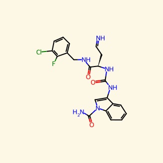 N=CC[C@@H](NC(=O)Nc1cn(C(N)=O)c2ccccc12)C(=O)NCc1cccc(Cl)c1F